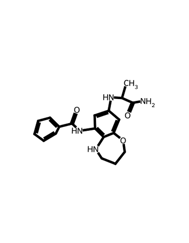 CC(Nc1cc(NC(=O)c2ccccc2)c2c(c1)OCCCN2)C(N)=O